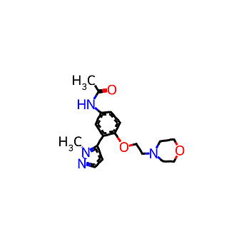 CC(=O)Nc1ccc(OCCN2CCOCC2)c(-c2ccnn2C)c1